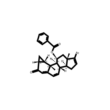 CC(=O)C1=CC[C@H]2[C@@H]3C=CC4=CC(=O)[C@@H]5C[C@@H]5[C@]4(C)[C@H]3[C@@H](OC(=O)c3ccccc3)C[C@]12C